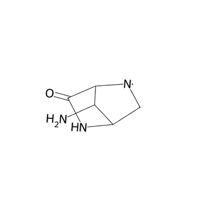 NC1C2C[N]C1C(=O)N2